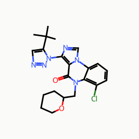 CC(C)(C)c1cnnn1-c1ncn2c1c(=O)n(CC1CCCCO1)c1c(Cl)cccc12